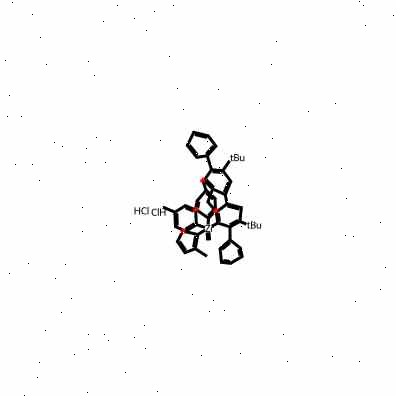 Cl.Cl.[CH2]=[Zr]([C]1=C(C)C=CC1)([c]1ccc(C)cc1)([c]1ccc(C)cc1)[c]1c2c(cc(C(C)(C)C)c1-c1ccccc1)-c1cc(C(C)(C)C)c(-c3ccccc3)cc1C2